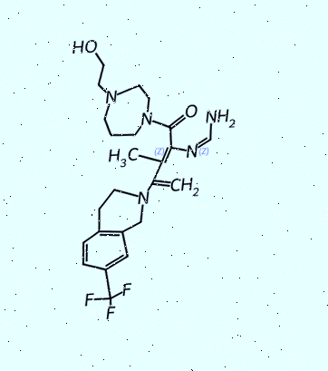 C=C(/C(C)=C(\N=C/N)C(=O)N1CCCN(CCO)CC1)N1CCc2ccc(C(F)(F)F)cc2C1